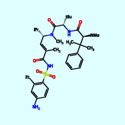 CCc1cc(N)ccc1S(=O)(=O)NC(=O)/C(C)=C/[C@H](C(C)C)N(C)C(=O)[C@@H](NC(=O)[C@@H](NC)C(C)(C)c1ccccc1)C(C)(C)C